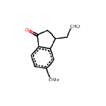 COc1ccc2c(c1)C(C[C]=O)CC2=O